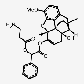 COc1ccc2c3c1O[C@H]1C(OC(=O)[C@H](OC(=O)CCN)c4ccccc4)=CC[C@@]4(O)[C@@H](C2)C(C)CC[C@]314